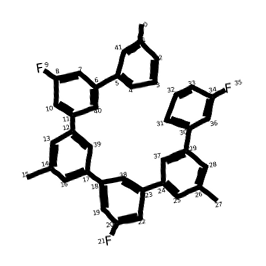 Cc1cccc(-c2cc(F)cc(-c3cc(C)cc(-c4cc(F)cc(-c5cc(C)cc(-c6cccc(F)c6)c5)c4)c3)c2)c1